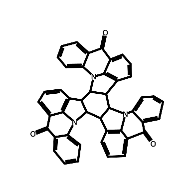 O=c1c2ccccc2n2c3c(cccc13)C1C2C2c3cccc4c(=O)c5ccccc5n(c34)C2C2c3cccc4c(=O)c5ccccc5n(c34)C12